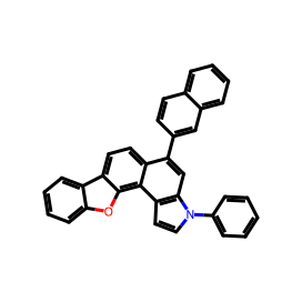 c1ccc(-n2ccc3c4c(ccc5c6ccccc6oc54)c(-c4ccc5ccccc5c4)cc32)cc1